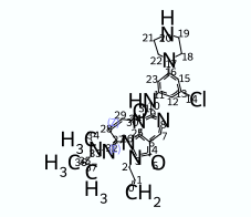 C=CCn1c(=O)c2cnc(Nc3cc(Cl)cc(N4CCNCC4)c3)nc2n1C(/C=C\C=O)=N/N(C)C(C)C